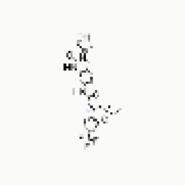 CCC1(CC)C/C(=C\C(=O)Nc2ccc3c(c2)NC(=O)N([C@@H](C)CO)C3)c2ccc(C(F)(F)F)cc2O1